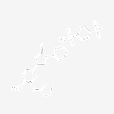 COc1ccc(C2CC(=O)N(c3cccc(NS(=O)(=O)c4ccc(S(C)(=O)=O)cc4)c3)C2)cc1OC1CCCC1